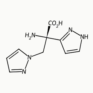 N[C@](Cn1cccn1)(C(=O)O)c1cc[nH]n1